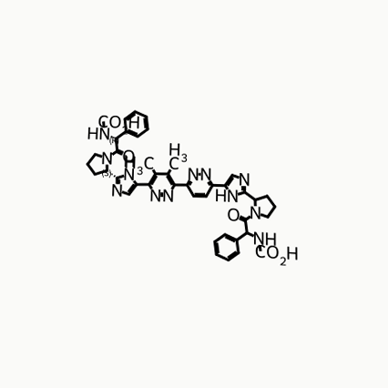 Cc1c(-c2ccc(-c3cnc(C4CCCN4C(=O)C(NC(=O)O)c4ccccc4)[nH]3)nn2)nnc(-c2cnc([C@@H]3CCCN3C(=O)[C@H](NC(=O)O)c3ccccc3)[nH]2)c1C